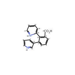 O=C(O)c1cccc(-c2cccnc2)c1-c1ccccn1